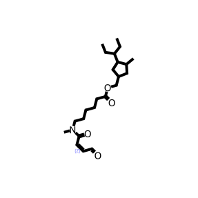 CCC(CC)C1CC(COC(=O)CCCCCN(C)C(=O)/C=C\C=O)CC1C